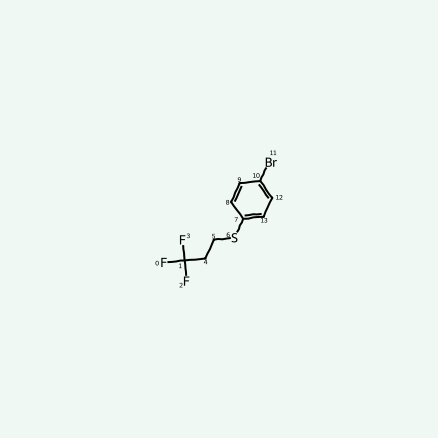 FC(F)(F)CCSc1ccc(Br)cc1